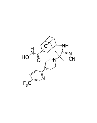 CC(C)(/C(=N\C#N)NC1C2CC3CC1CC(C(=O)NO)(C3)C2)N1CCN(c2ccc(C(F)(F)F)cn2)CC1